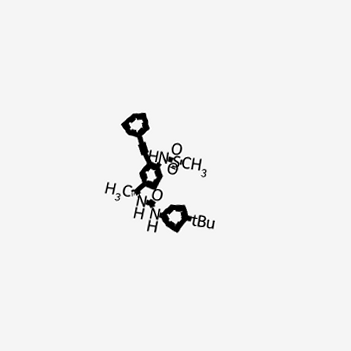 C[C@@H](NC(=O)Nc1ccc(C(C)(C)C)cc1)c1ccc(NS(C)(=O)=O)c(C#Cc2ccccc2)c1